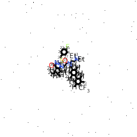 [2H]c1c([2H])c(C([2H])([2H])N(CCN(CC)CC)C(=O)Cn2c(SCc3ccc(F)cc3)nc(=O)c3c2C([2H])([2H])C([2H])(C)C3([2H])[2H])c([2H])c([2H])c1-c1c([2H])c([2H])c(C(F)(F)F)c(C)c1[2H]